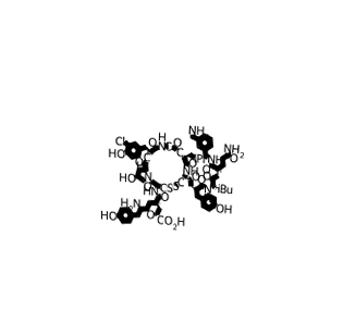 CCC(C)[C@H](NC(=O)[C@@H](CC(=O)[C@@H]1CSSC[C@H](NC(=O)[C@@H](CCC(=O)O)CC(=O)[C@@H](N)Cc2ccc(O)cc2)C(=O)N2C[C@H](O)C[C@H]2C(=O)C[C@@H](Cc2ccc(O)c(Cl)c2)C(=O)NCC(=O)C[C@@H](CC(C)C)C(=O)N1)Cc1ccc(O)cc1)C(=O)C[C@@H](CCC(N)=O)C(=O)NCc1cccc(CN)c1